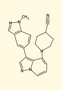 Cn1ncc2cc(-c3cnn4cccc(N5CCC(C#N)CC5)c34)ccc21